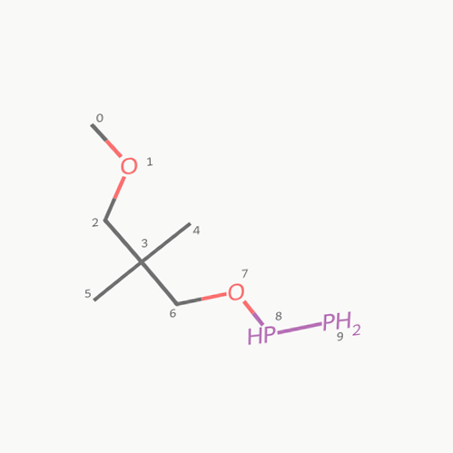 COCC(C)(C)COPP